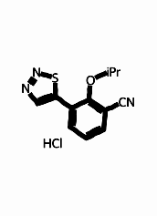 CC(C)Oc1c(C#N)cccc1-c1cnns1.Cl